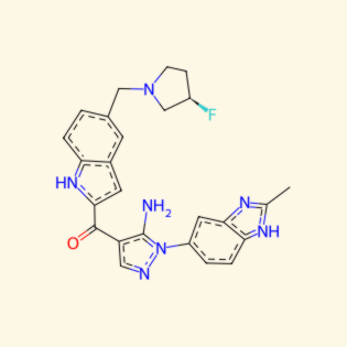 Cc1nc2cc(-n3ncc(C(=O)c4cc5cc(CN6CC[C@@H](F)C6)ccc5[nH]4)c3N)ccc2[nH]1